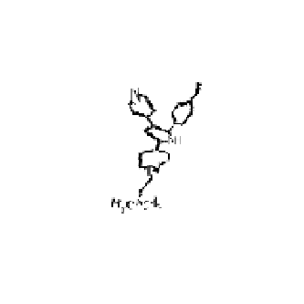 CN(C)CCN1CCC(c2cc(-c3ccncc3)c(-c3ccc(F)cc3)[nH]2)CC1